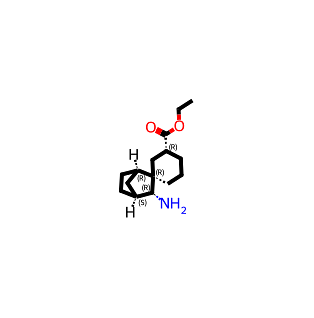 CCOC(=O)[C@@H]1CCC[C@@]2(C1)[C@@H]1CC[C@@H](C1)[C@H]2N